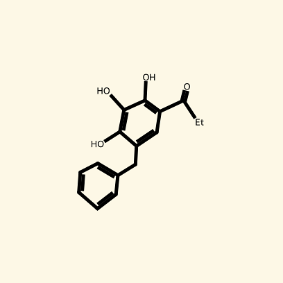 CCC(=O)c1cc(Cc2ccccc2)c(O)c(O)c1O